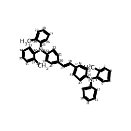 Cc1ccccc1N(c1ccccc1)c1ccc(/C=C/c2ccc(N(c3ccccc3C)c3ccccc3C)cc2)cc1